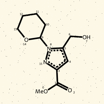 COC(=O)c1cc(CO)n(C2CCCCO2)n1